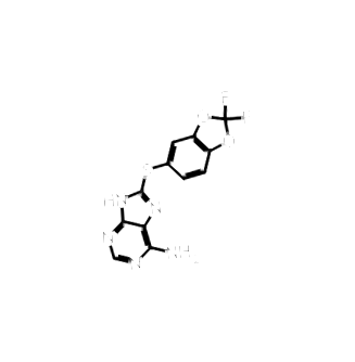 Nc1ncnc2[nH]c(Sc3ccc4c(c3)OC(F)(F)O4)nc12